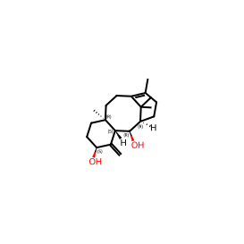 C=C1[C@@H](O)CC[C@@]2(C)CCC3=C(C)CC[C@@H]([C@@H](O)[C@H]12)C3(C)C